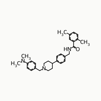 Cc1ccc(C)c(C(=O)NCc2ccc(C3CCN(Cc4ccc(N(C)C)cc4)CC3)cc2)c1